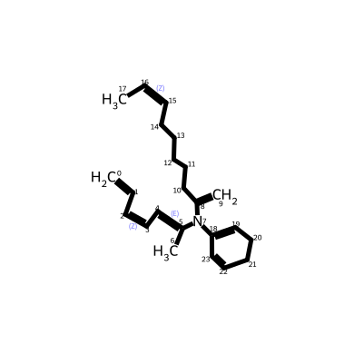 C=C/C=C\C=C(/C)N(C(=C)CCCCC/C=C\C)C1=CCCC=C1